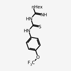 CCCCCCC(=N)NC(=S)Nc1ccc(OC(F)(F)F)cc1